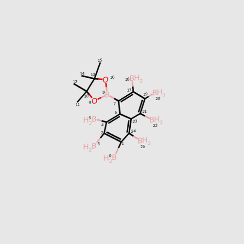 Bc1c(B)c(B)c2c(B3OC(C)(C)C(C)(C)O3)c(B)c(B)c(B)c2c1B